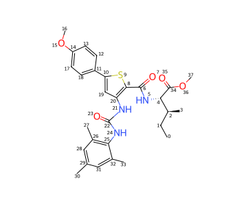 CC[C@H](C)[C@H](NC(=O)c1sc(-c2ccc(OC)cc2)cc1NC(=O)Nc1c(C)cc(C)cc1C)C(=O)OC